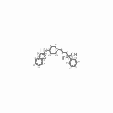 CC(C)C(C#N)(CCCN1CCC(Nc2nc3ccccc3s2)CC1)c1ccccc1